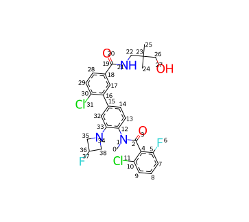 CN(C(=O)c1c(F)cccc1Cl)c1ccc(-c2cc(C(=O)NCC(C)(C)CO)ccc2Cl)cc1N1CC(F)C1